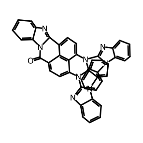 O=c1c2ccc(-n3c4ccccc4n4c5ccccc5nc34)c3c(-n4c5ccccc5n5c6ccccc6nc45)ccc(c32)c2nc3ccccc3n12